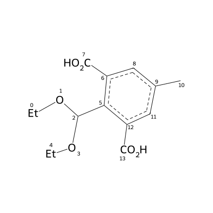 CCOC(OCC)c1c(C(=O)O)cc(C)cc1C(=O)O